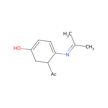 CC(=O)C1CC(O)=CC=C1N=C(C)C